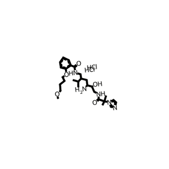 COCCCCOc1ccccc1C(=O)NCC(CC(N)C(O)CNC(=O)C(C)(C)n1ccnc1)C(C)C.Cl.Cl